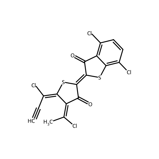 C#C/C(Cl)=C1/S/C(=C2/Sc3c(Cl)ccc(Cl)c3C2=O)C(=O)/C1=C(/C)Cl